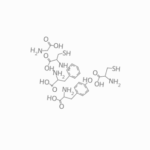 NC(CS)C(=O)O.NC(CS)C(=O)O.NC(Cc1ccc(O)cc1)C(=O)O.NC(Cc1ccccc1)C(=O)O.NCC(=O)O